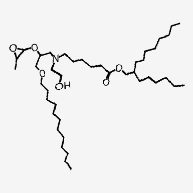 CCCCCCCCCCCCOCC(CN(CCO)CCCCCC(=O)OCC(CCCCCC)CCCCCCCC)OC1OC1C